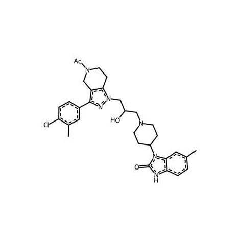 CC(=O)N1CCc2c(c(-c3ccc(Cl)c(C)c3)nn2CC(O)CN2CCC(n3c(=O)[nH]c4ccc(C)cc43)CC2)C1